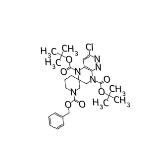 CC(C)(C)OC(=O)N1CC2(CCCN(C(=O)OCc3ccccc3)C2)N(C(=O)OC(C)(C)C)c2cc(Cl)nnc21